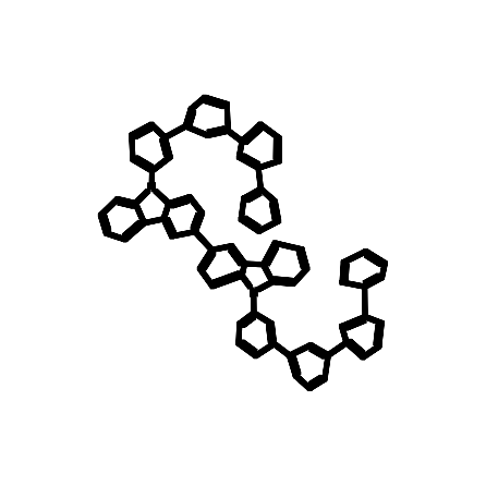 c1ccc(-c2cccc(-c3cccc(-c4cccc(-n5c6ccccc6c6cc(-c7ccc8c(c7)c7ccccc7n8-c7cccc(-c8cccc(-c9cccc(-c%10ccccc%10)c9)c8)c7)ccc65)c4)c3)c2)cc1